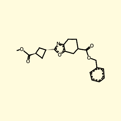 COC(=O)[C@H]1C[C@H](c2nc3c(o2)CC(C(=O)OCc2ccccc2)CC3)C1